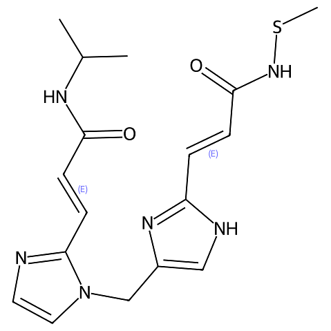 CSNC(=O)/C=C/c1nc(Cn2ccnc2/C=C/C(=O)NC(C)C)c[nH]1